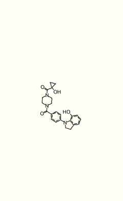 O=C(c1ccc(N2CCc3cccc(O)c32)cc1)N1CCN(C(=O)C2(O)CC2)CC1